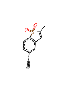 C#Cc1ccc2c(c1)C=C(C)S2(=O)=O